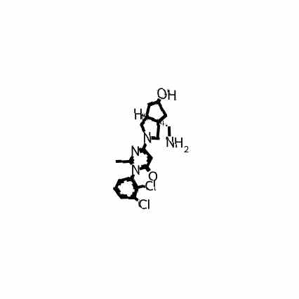 Cc1nc(N2C[C@H]3CC(O)C[C@@]3(CN)C2)cc(=O)n1-c1cccc(Cl)c1Cl